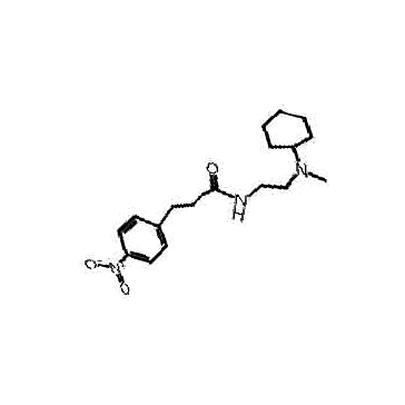 CN(CCNC(=O)CCc1ccc([N+](=O)[O-])cc1)C1CCCCC1